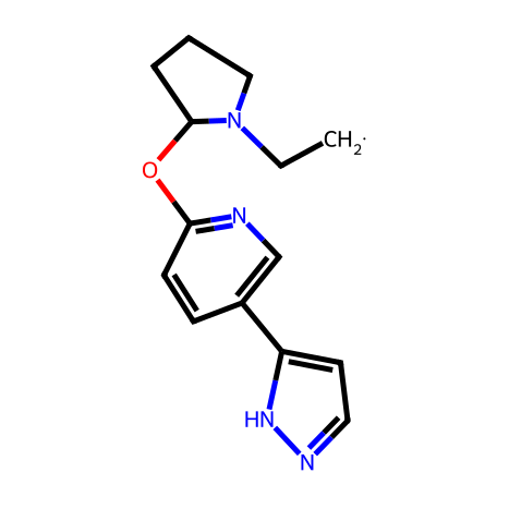 [CH2]CN1CCCC1Oc1ccc(-c2ccn[nH]2)cn1